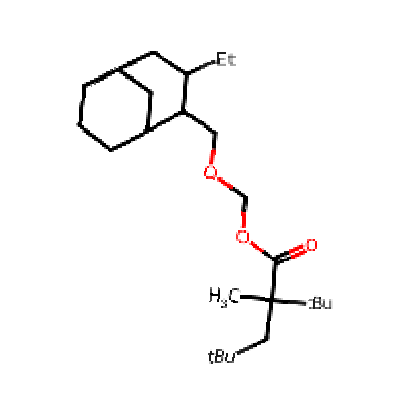 CCC1CC2CCCC(C2)C1COCOC(=O)C(C)(CC(C)(C)C)C(C)(C)C